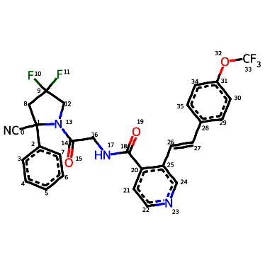 N#CC1(c2ccccc2)CC(F)(F)CN1C(=O)CNC(=O)c1ccncc1/C=C/c1ccc(OC(F)(F)F)cc1